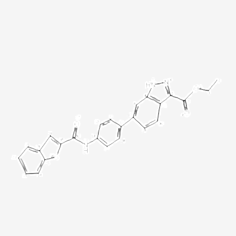 CCOC(=O)c1n[nH]c2cc(-c3ccc(NC(=O)c4cc5ccccc5s4)cc3)ccc12